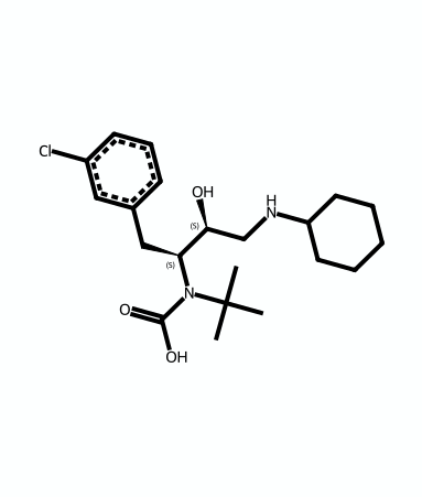 CC(C)(C)N(C(=O)O)[C@@H](Cc1cccc(Cl)c1)[C@@H](O)CNC1CCCCC1